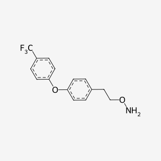 NOCCc1ccc(Oc2ccc(C(F)(F)F)cc2)cc1